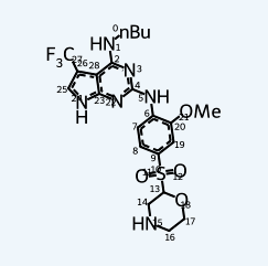 CCCCNc1nc(Nc2ccc(S(=O)(=O)C3CNCCO3)cc2OC)nc2[nH]cc(C(F)(F)F)c12